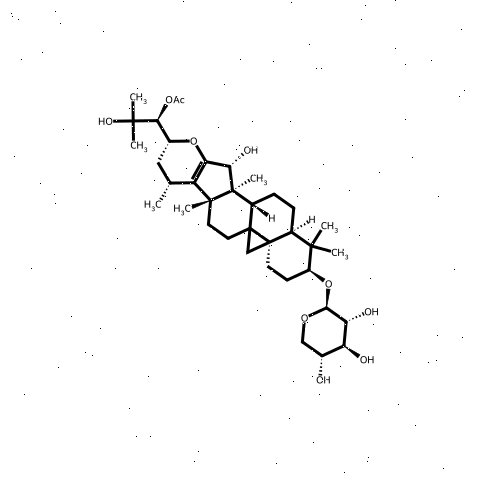 CC(=O)O[C@@H]([C@H]1C[C@@H](C)C2=C(O1)[C@H](O)[C@@]1(C)[C@@H]3CC[C@H]4C(C)(C)[C@@H](O[C@@H]5OC[C@@H](O)[C@H](O)[C@H]5O)CC[C@@]45CC35CC[C@]21C)C(C)(C)O